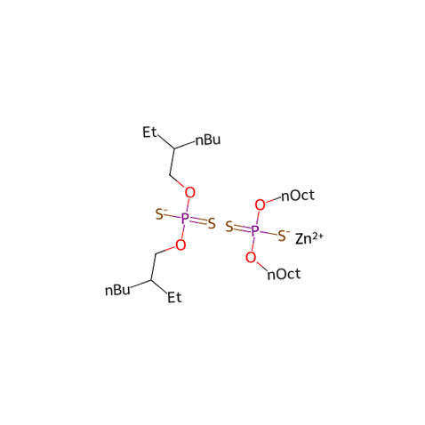 CCCCC(CC)COP(=S)([S-])OCC(CC)CCCC.CCCCCCCCOP(=S)([S-])OCCCCCCCC.[Zn+2]